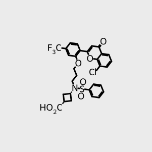 O=c1cc(-c2ccc(C(F)(F)F)cc2OCCCN([C@H]2C[C@H](C(=O)O)C2)S(=O)(=O)c2ccccc2)oc2c(Cl)cccc12